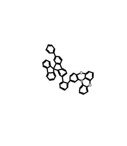 c1ccc(-c2ccc3c(c2)C2(c4ccccc4-c4ccccc42)c2cc(-c4ccccc4-c4ccc5c(c4)B4c6ccccc6Oc6cccc(c64)O5)ccc2-3)cc1